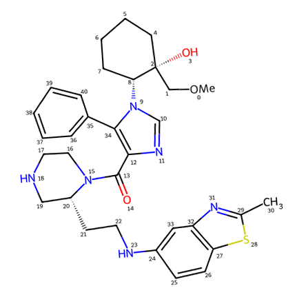 COC[C@]1(O)CCCC[C@H]1n1cnc(C(=O)N2CCNC[C@H]2CCNc2ccc3sc(C)nc3c2)c1-c1ccccc1